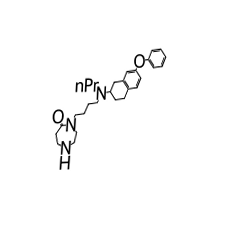 CCCN(CCCCN1CCNCCC1=O)C1CCc2ccc(Oc3ccccc3)cc2C1